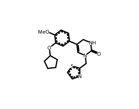 COc1ccc(C2=CN(Cc3nccs3)C(=O)NC2)cc1OC1CCCC1